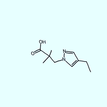 CCc1cnn(CC(C)(C)C(=O)O)c1